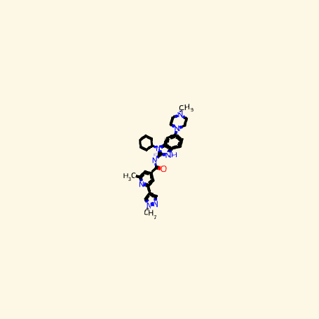 Cc1cc(C(=O)/N=c2\[nH]c3ccc(N4CCN(C)CC4)cc3n2C2CCCCC2)cc(-c2cnn(C)c2)n1